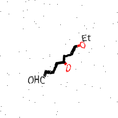 CCOCCCC(=O)CCCC=O